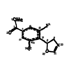 COC(=O)c1cc(F)c(C2CN=CO2)c(F)c1